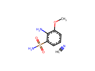 C#N.COc1cccc(S(N)(=O)=O)c1N